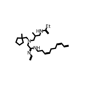 C=C/C=C\CC/C=C\CCN/C(CN(CC(C)CNC(=C)CC)CC1(C)CCCC1)=N\C=C